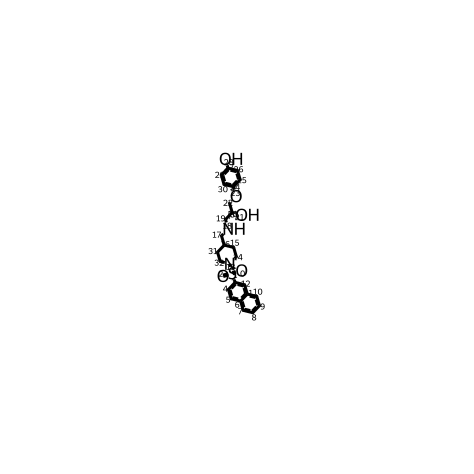 O=S(=O)(c1ccc2ccccc2c1)N1CCC(CNC[C@H](O)COc2ccc(O)cc2)CC1